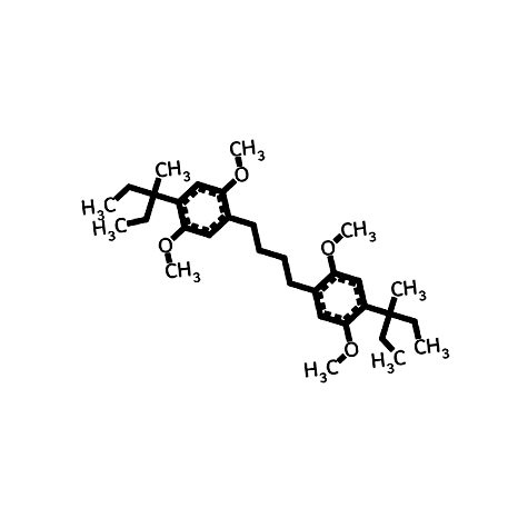 CCC(C)(CC)c1cc(OC)c(CCCCc2cc(OC)c(C(C)(CC)CC)cc2OC)cc1OC